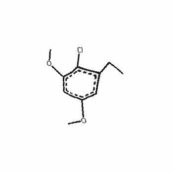 CCc1cc(OC)cc(OC)c1Cl